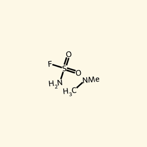 CNC.NS(=O)(=O)F